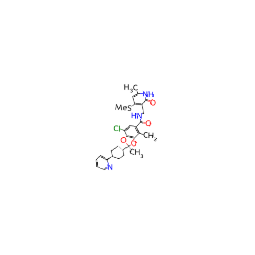 CSc1cc(C)[nH]c(=O)c1CNC(=O)c1cc(Cl)c2c(c1C)O[C@@](C)([C@H]1CC[C@H](c3ccccn3)CC1)O2